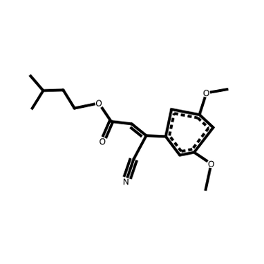 COc1cc(OC)cc(C(C#N)=CC(=O)OCCC(C)C)c1